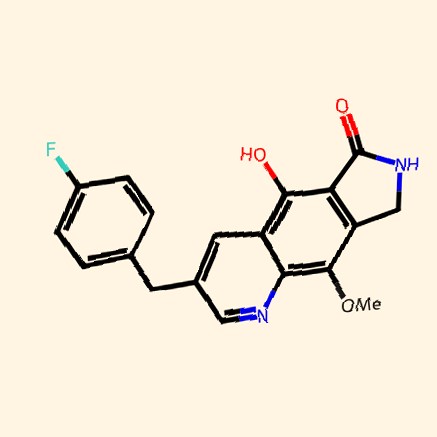 COc1c2c(c(O)c3cc(Cc4ccc(F)cc4)cnc13)C(=O)NC2